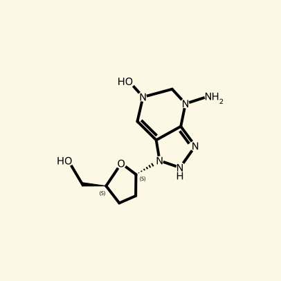 NN1CN(O)C=C2C1=NNN2[C@@H]1CC[C@@H](CO)O1